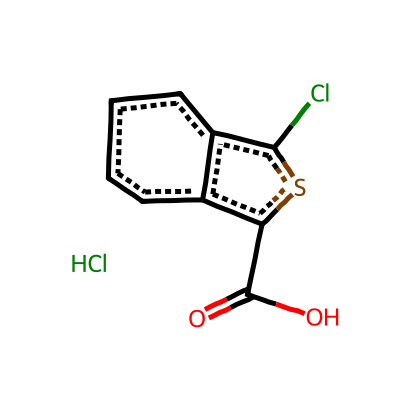 Cl.O=C(O)c1sc(Cl)c2ccccc12